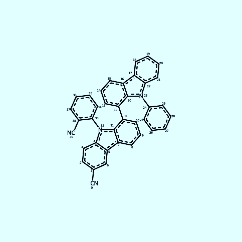 N#Cc1ccc2c(c1)c1cccc(-c3cccc4c5ccccc5n(-c5ccccc5)c34)c1n2-c1ccccc1C#N